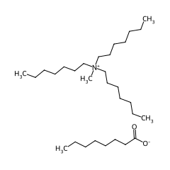 CCCCCCCC(=O)[O-].CCCCCCC[N+](C)(CCCCCCC)CCCCCCC